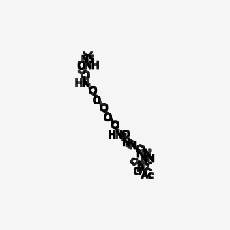 CC(=O)c1c(C)c2cnc(N(C)c3ccc(N4CCN(CC(=O)NCCOCCOCCOCCOCCOCCNc5ccc(C(=O)Nc6nc(C)c(C)s6)c(C)c5)CC4)cn3)nc2n(C2CCCC2)c1=O